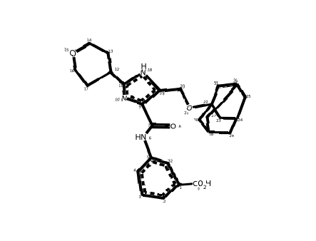 O=C(O)c1cccc(NC(=O)c2nc(C3CCOCC3)[nH]c2COC23CC4CC(CC(C4)C2)C3)c1